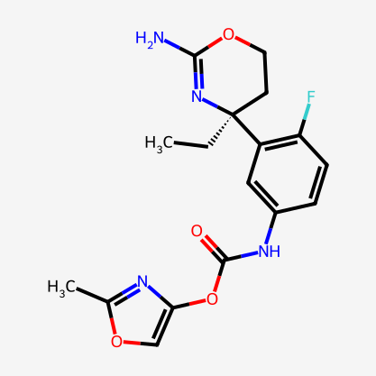 CC[C@@]1(c2cc(NC(=O)Oc3coc(C)n3)ccc2F)CCOC(N)=N1